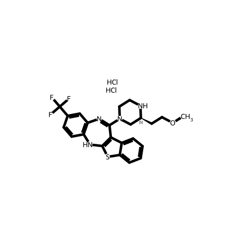 COCC[C@H]1CN(C2=Nc3cc(C(F)(F)F)ccc3Nc3sc4ccccc4c32)CCN1.Cl.Cl